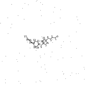 CCCCCC1CCC(C[C@H]2CC[C@H](CCCC)CC2)CC1